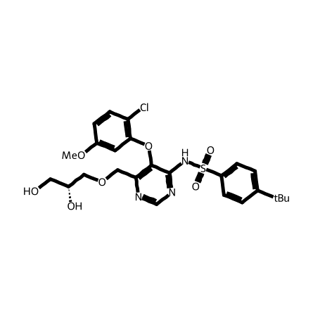 COc1ccc(Cl)c(Oc2c(COC[C@H](O)CO)ncnc2NS(=O)(=O)c2ccc(C(C)(C)C)cc2)c1